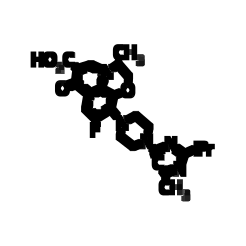 Cc1cc(N2CCN(c3c(F)cc4c(=O)c(C(=O)O)cn5c4c3OC[C@@H]5C)CC2)nc(C(C)C)n1